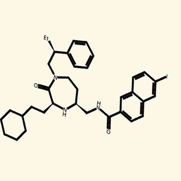 CC[C@H](CN1CC[C@@H](CNC(=O)c2ccc3cc(I)ccc3c2)N[C@@H](CCC2CCCCC2)C1=O)c1ccccc1